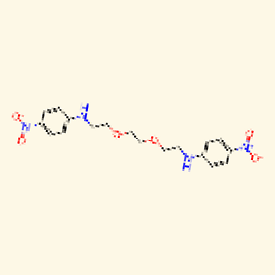 O=[N+]([O-])c1ccc(NCCOCCOCCNc2ccc([N+](=O)[O-])cc2)cc1